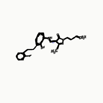 CC1=NN(CCCC(=O)O)C(=O)/C1=C\Nc1cccc(CCc2ccccc2F)c1O